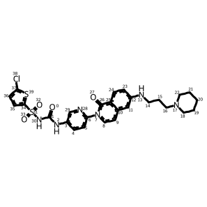 O=C(Nc1ccc(-n2ccc3cc(NCCCN4CCCCC4)ccc3c2=O)nc1)NS(=O)(=O)c1ccc(Cl)s1